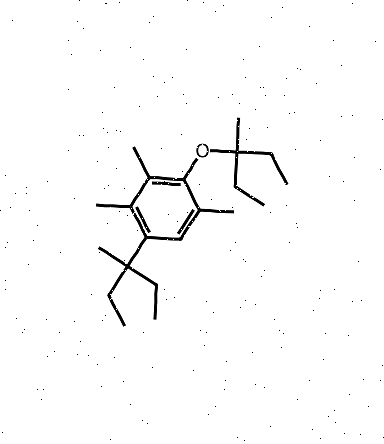 CCC(C)(CC)Oc1c(C)cc(C(C)(CC)CC)c(C)c1C